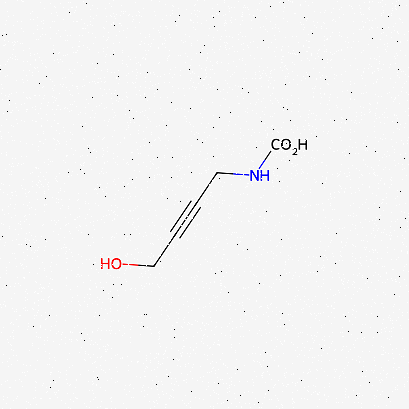 O=C(O)NCC#CCO